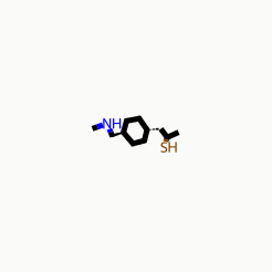 CNC[C@H]1CC[C@H](CC(C)S)CC1